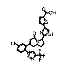 O=C(O)c1ccc(-c2c[nH]c(C3CCC4CC(c5cc(Cl)ccc5-n5cc(C(F)(F)F)nn5)=CC(=O)N43)n2)s1